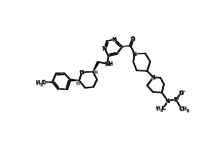 Cc1ccc([C@@H]2CCC[C@H](CNc3cc(C(=O)N4CCC(N5CCC(N(C)[S+](C)[O-])CC5)CC4)ncn3)O2)cc1